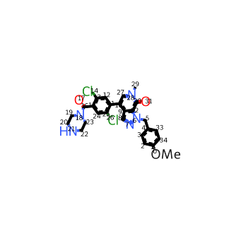 COc1ccc(Cn2ncc3c(-c4cc(Cl)c(C(=O)N5CCNCC5)cc4Cl)cn(C)c(=O)c32)cc1